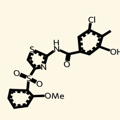 COc1ccccc1S(=O)(=O)c1csc(NC(=O)c2cc(O)c(C)c(Cl)c2)n1